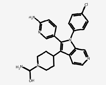 Nc1ccc(-c2c(C3CCN(C(N)O)CC3)c3ccncc3n2-c2ccc(Cl)cc2)cn1